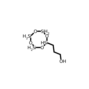 OCCC[SiH]1O[SiH2]O[SiH2]O[SiH2]O1